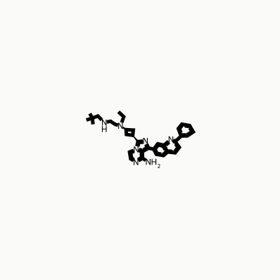 CCN(CCNCC(C)(C)C)[C@H]1C[C@@H](c2nc(-c3ccc4ccc(-c5ccccc5)nc4c3)c3c(N)nccn32)C1